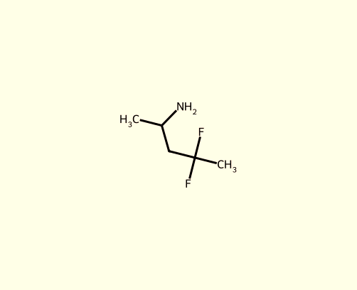 CC(N)CC(C)(F)F